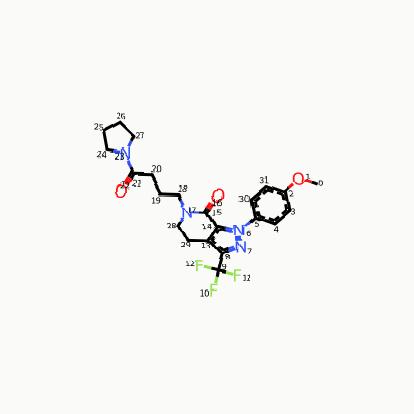 COc1ccc(-n2nc(C(F)(F)F)c3c2C(=O)N(CCCC(=O)N2CCCC2)CC3)cc1